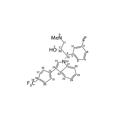 CNC[C@@H](O)[C@H](c1cccc(F)c1)n1cc(-c2ccc(C(F)(F)F)cc2)c2ccccc21